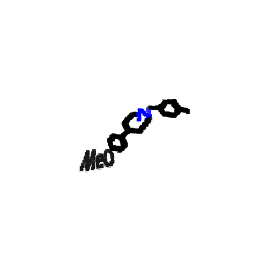 COc1ccc(C2CCN(Cc3ccc(C)cc3)CC2)cc1